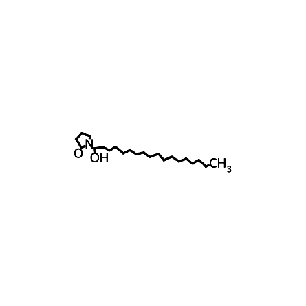 CCCCCCCCCCCCCCCCCC(O)N1CCCC1=O